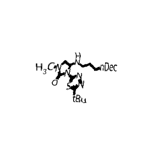 CCCCCCCCCCCCCNC1CN(C)C(=O)N1c1nnc(C(C)(C)C)s1